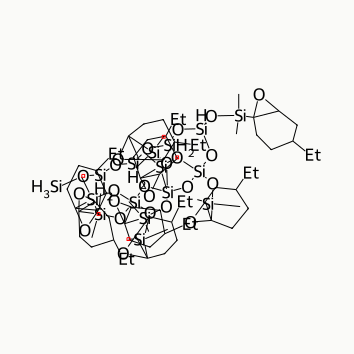 CCC1CCC2([Si](C)(C)O[SiH](O[SiH2]O[SiH2]O[SiH2]O[SiH3])O[Si](O[Si](O[Si](O[Si](C)(C)C34CCC(CC)CC3O4)(O[Si](C)(C)C34CCC(CC)CC3O4)O[Si](C)(C)C34CCC(CC)CC3O4)(O[Si](C)(C)C34CCC(CC)CC3O4)O[Si](C)(C)C34CCC(CC)CC3O4)(O[Si](C)(C)C34CCC(CC)CC3O4)O[Si](C)(C)C34CCC(CC)CC3O4)OC2C1